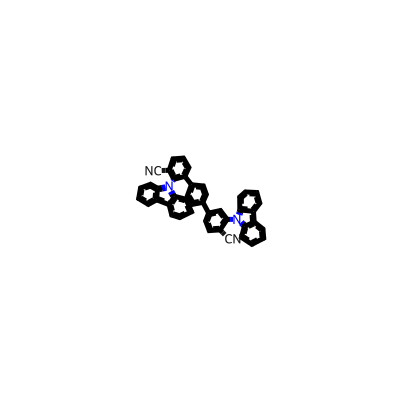 N#Cc1ccc(-c2ccc(-c3cccc(C#N)c3-n3c4ccccc4c4ccccc43)cc2)cc1-n1c2ccccc2c2ccccc21